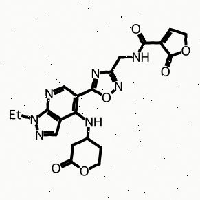 CCn1ncc2c(NC3CCOC(=O)C3)c(-c3nc(CNC(=O)C4=CCOC4=O)no3)cnc21